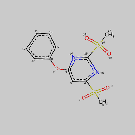 CS(=O)(=O)c1cc(Oc2ccccc2)nc(S(C)(=O)=O)n1